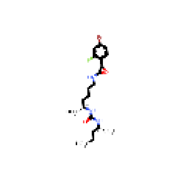 O=C(O)CC[C@H](NC(=O)N[C@@H](CCCCNC1OC1c1ccc(Br)cc1F)C(=O)O)C(=O)O